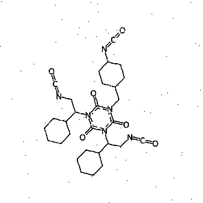 O=C=NCC(C1CCCCC1)n1c(=O)n(CC2CCC(N=C=O)CC2)c(=O)n(C(CN=C=O)C2CCCCC2)c1=O